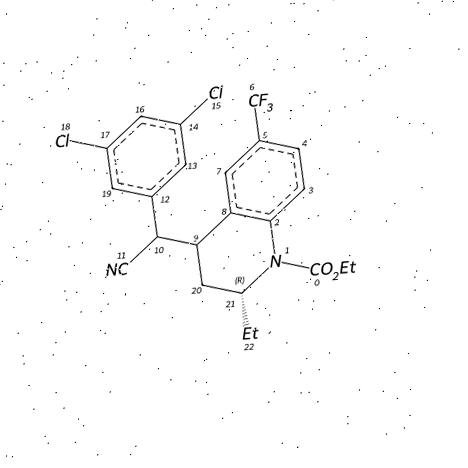 CCOC(=O)N1c2ccc(C(F)(F)F)cc2C(C(C#N)c2cc(Cl)cc(Cl)c2)C[C@H]1CC